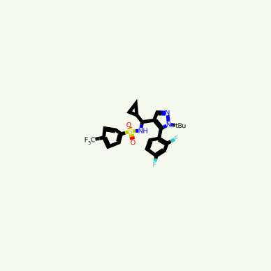 CC(C)(C)n1ncc(C(NS(=O)(=O)c2ccc(C(F)(F)F)cc2)C2CC2)c1-c1ccc(F)cc1F